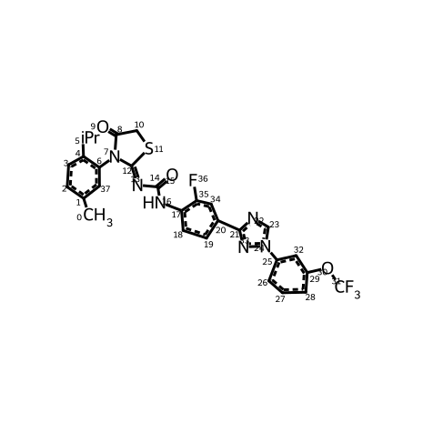 Cc1ccc(C(C)C)c(N2C(=O)CSC2=NC(=O)Nc2ccc(-c3ncn(-c4cccc(OC(F)(F)F)c4)n3)cc2F)c1